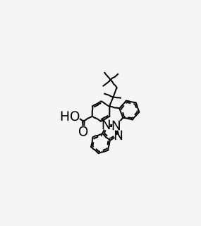 CC(C)(C)CC(C)(C)C1(c2ccccc2-n2nc3ccccc3n2)C=CC(C(=O)O)C=C1